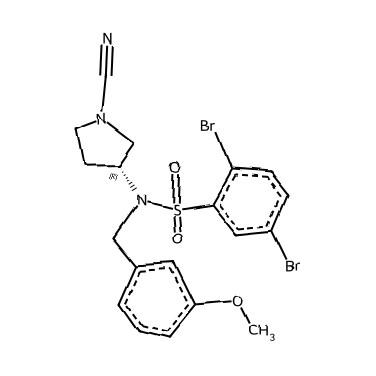 COc1cccc(CN([C@@H]2CCN(C#N)C2)S(=O)(=O)c2cc(Br)ccc2Br)c1